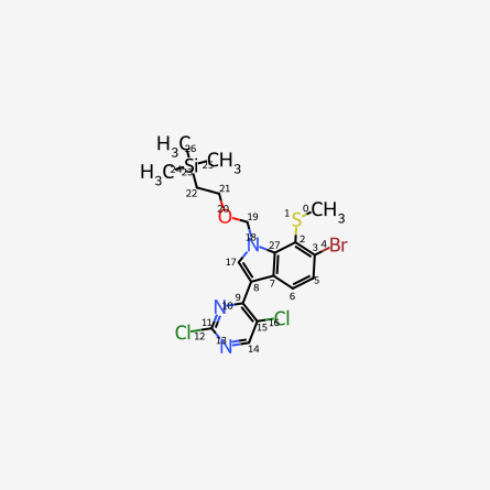 CSc1c(Br)ccc2c(-c3nc(Cl)ncc3Cl)cn(COCC[Si](C)(C)C)c12